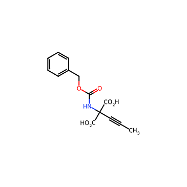 CC#CC(NC(=O)OCc1ccccc1)(C(=O)O)C(=O)O